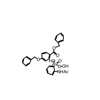 CC(=O)Nc1ccccc1[As](=O)(O)OO.O=C(OCc1ccccc1)c1ccc(OCc2ccccc2)cc1